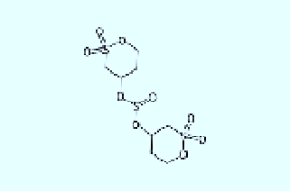 O=S(OC1CCOS(=O)(=O)C1)OC1CCOS(=O)(=O)C1